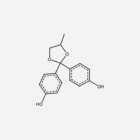 CC1COC(c2ccc(O)cc2)(c2ccc(O)cc2)O1